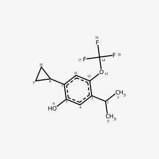 CC(C)c1cc(O)c(C2CC2)cc1OC(F)(F)F